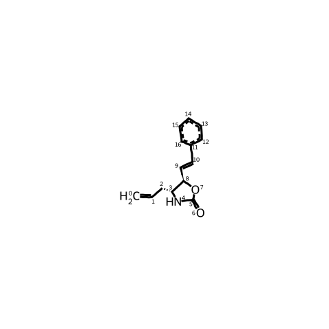 C=CC[C@H]1NC(=O)O[C@@H]1C=Cc1ccccc1